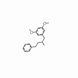 COc1cc(CC(C)CCc2ccccc2)cc(OC)c1